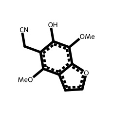 COc1c(CC#N)c(O)c(OC)c2occc12